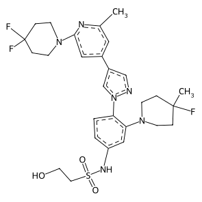 Cc1cc(-c2cnn(-c3ccc(NS(=O)(=O)CCO)cc3N3CCC(C)(F)CC3)c2)cc(N2CCC(F)(F)CC2)n1